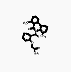 Cc1cccc2c1c(=O)n(C(I)c1ccccc1OCC(N)=O)c1c(N)cccc21